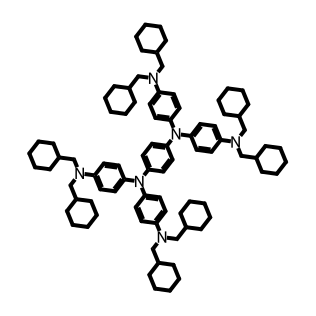 c1cc(N(c2ccc(N(CC3CCCCC3)CC3CCCCC3)cc2)c2ccc(N(c3ccc(N(CC4CCCCC4)CC4CCCCC4)cc3)c3ccc(N(CC4CCCCC4)CC4CCCCC4)cc3)cc2)ccc1N(CC1CCCCC1)CC1CCCCC1